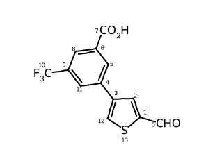 O=Cc1cc(-c2cc(C(=O)O)cc(C(F)(F)F)c2)cs1